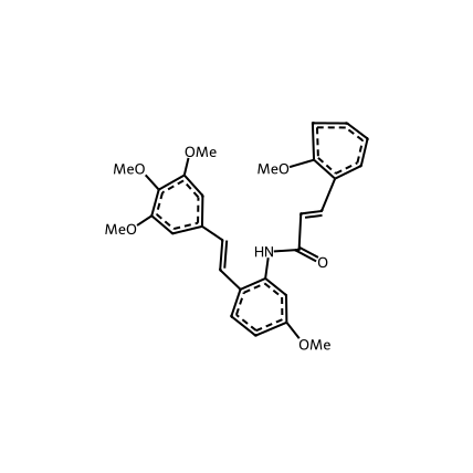 COc1ccc(/C=C/c2cc(OC)c(OC)c(OC)c2)c(NC(=O)/C=C/c2ccccc2OC)c1